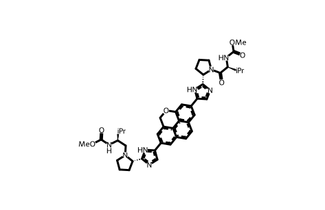 COC(=O)N[C@H](C(=O)N1CCC[C@H]1c1ncc(-c2cc3c4c(ccc5cc(-c6cnc([C@@H]7CCCN7C[C@@H](NC(=O)OC)C(C)C)[nH]6)cc(c54)CO3)c2)[nH]1)C(C)C